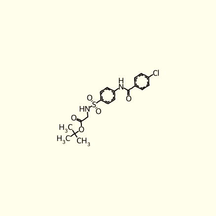 CC(C)(C)OC(=O)CNS(=O)(=O)c1ccc(NC(=O)c2ccc(Cl)cc2)cc1